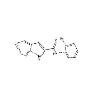 CC(C)c1ccccc1NC(=O)c1cc2ccccc2[nH]1